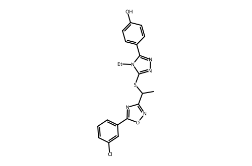 CCn1c(SC(C)c2noc(-c3cccc(Cl)c3)n2)nnc1-c1ccc(O)cc1